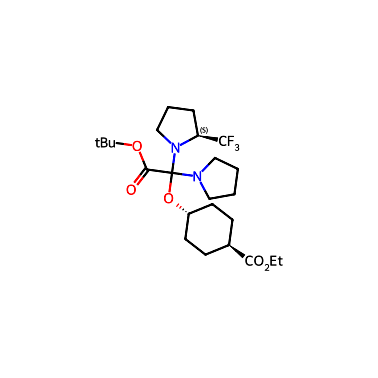 CCOC(=O)[C@H]1CC[C@H](OC(C(=O)OC(C)(C)C)(N2CCCC2)N2CCC[C@H]2C(F)(F)F)CC1